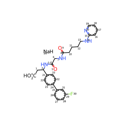 O=C(O)CC(NC(=O)CNC(=O)CCCCNc1ccccn1)c1ccc(-c2cccc(F)c2)cc1.[NaH]